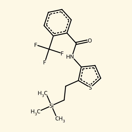 C[Si](C)(C)CCc1sccc1NC(=O)c1ccccc1C(F)(F)F